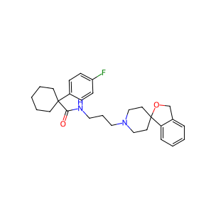 O=C(NCCCN1CCC2(CC1)OCc1ccccc12)C1(c2ccc(F)cc2)CCCCC1